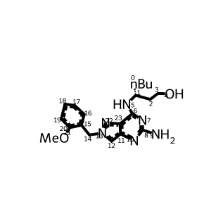 CCCC[C@H](CCO)Nc1nc(N)nc2cn(Cc3ccccc3OC)nc12